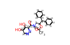 CC(C)N(C[C@H](OC(=O)C(F)(F)F)C(c1ccccc1)c1ccccc1)C(=O)c1nncc(O)c1O